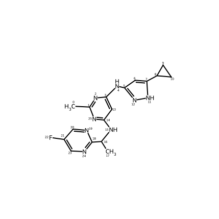 Cc1nc(Nc2cc(C3CC3)[nH]n2)cc(NC(C)c2ncc(F)cn2)n1